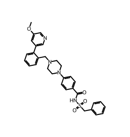 COc1cncc(-c2ccccc2CN2CCN(c3ccc(C(=O)NS(=O)(=O)Cc4ccccc4)cc3)CC2)c1